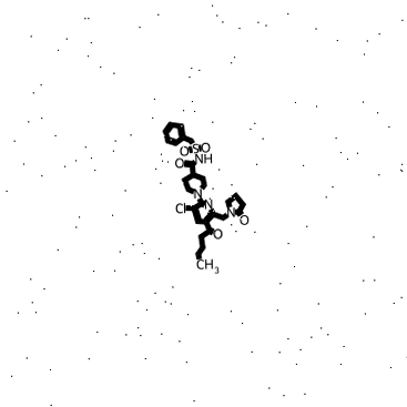 CCCCC(=O)c1cc(Cl)c(N2CCC(C(=O)NS(=O)(=O)Cc3ccccc3)CC2)nc1CN1CCCC1=O